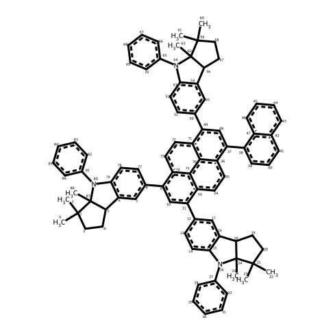 CC1(C)CCC2c3cc(-c4cc(-c5ccc6c(c5)C5CCC(C)(C)C5(C)N6c5ccccc5)c5ccc6c(-c7cccc8ccccc78)cc(-c7ccc8c(c7)C7CCC(C)(C)C7(C)N8c7ccccc7)c7ccc4c5c76)ccc3N(c3ccccc3)C21C